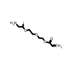 C=CC(=O)OCCOCCOC(I)CN